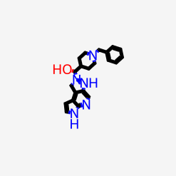 OC(C1CCN(Cc2ccccc2)CC1)N1Cc2c(cnc3[nH]ccc23)N1